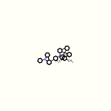 Cc1cc(C)c(N(c2ccc(-c3cccc4c3c3ccccc3n4-c3ccccc3)cc2)c2cccc3c2C2(c4ccccc4-c4ccccc42)c2ccccc2-3)c(C)c1